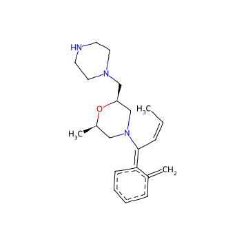 C=c1cccc/c1=C(/C=C\C)N1C[C@H](CN2CCNCC2)O[C@H](C)C1